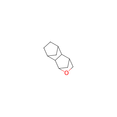 C1CC2CC1C1C3COC(C3)C21